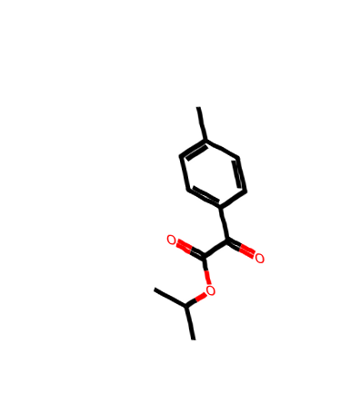 Cc1ccc(C(=O)C(=O)OC(C)C)cc1